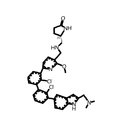 COc1nc(-c2cccc(-c3cccc(-c4ccc5[nH]c(CN(C)C)cc5c4)c3Cl)c2Cl)ccc1CNC[C@@H]1CCC(=O)N1